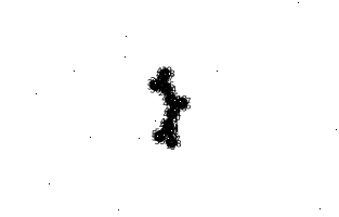 c1ccc(-c2nc3nc(-c4ccc(-n5c6ccccc6c6cc(-c7ccc8c(c7)c7ccccc7n8-c7ccccc7)ccc65)cc4)ccn3c2-c2ccccc2)cc1